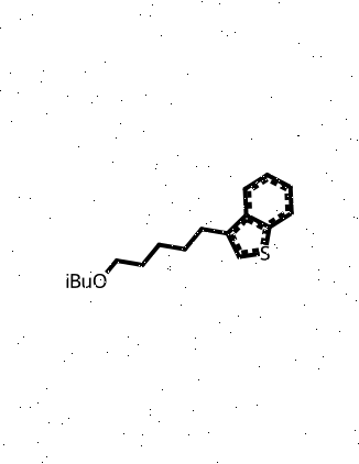 C[C](C)COCCCCCc1csc2ccccc12